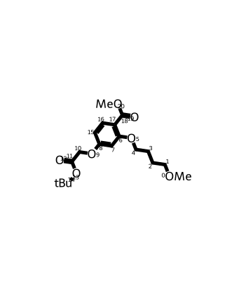 COCCCCOc1cc(OCC(=O)OC(C)(C)C)ccc1C(=O)OC